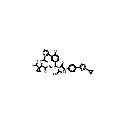 N=C1N[C@H](c2ccc(-c3cnn(C4CC4)n3)cc2)C(=O)N1[C@H](COC(=O)NC1(C(F)F)CC1)c1ccc(Cl)c(-c2ncnn2C(F)F)c1